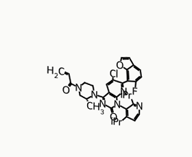 C=CC(=O)N1CCN(c2nc(=O)n(-c3c(C(C)C)ccnc3C(C)C)c3nc(-c4c(F)ccc5ccoc45)c(Cl)cc23)[C@@H](C)C1